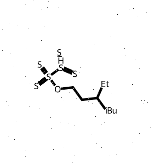 CCC(C)C(CC)CCOS(=S)(=S)[SH](=S)=S